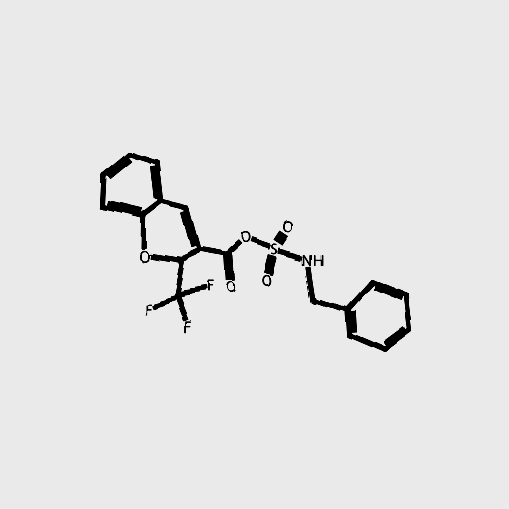 O=C(OS(=O)(=O)NCc1ccccc1)C1=Cc2ccccc2OC1C(F)(F)F